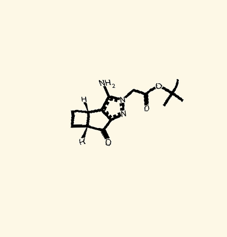 CC(C)(C)OC(=O)Cn1nc2c(c1N)[C@H]1CC[C@H]1C2=O